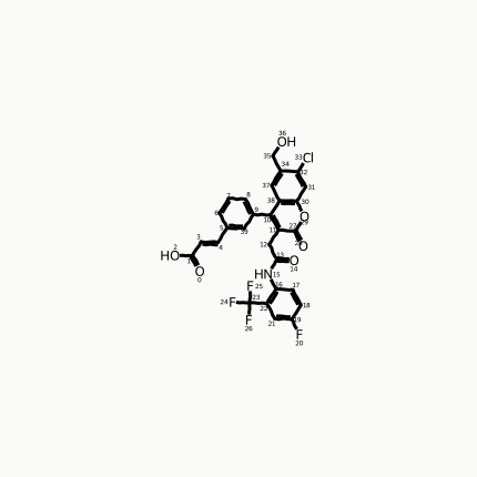 O=C(O)C=Cc1cccc(-c2c(CC(=O)Nc3ccc(F)cc3C(F)(F)F)c(=O)oc3cc(Cl)c(CO)cc23)c1